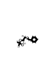 C[C@H](OCc1ccccc1)[C@@H]1COC(C)(C)O1